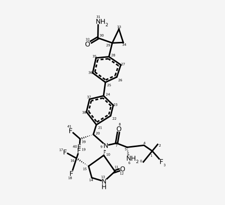 CC(C)(F)C[C@H](N)C(=O)N([C@@H]1C(=O)NC[C@@H]1C(F)(F)F)[C@@H](c1ccc(-c2ccc(C3(C(N)=O)CC3)cc2)cc1)C(F)F